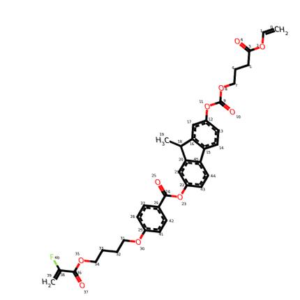 C=COC(=O)CCCOC(=O)Oc1ccc2c(c1)C(C)c1cc(OC(=O)c3ccc(OCCCCOC(=O)C(=C)F)cc3)ccc1-2